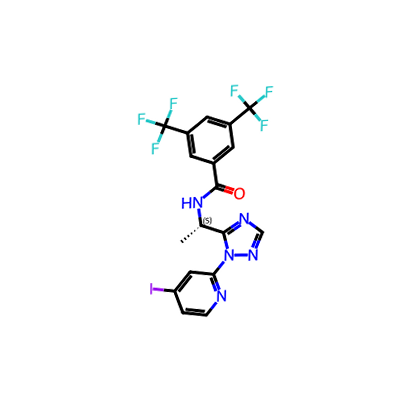 C[C@H](NC(=O)c1cc(C(F)(F)F)cc(C(F)(F)F)c1)c1ncnn1-c1cc(I)ccn1